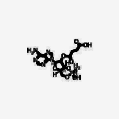 B[PH]1(O)OC[C@H]2O[C@@H](n3cnc4c(N)ncnc43)C(OC(=O)CCC(=O)O)[C@@H]2O1